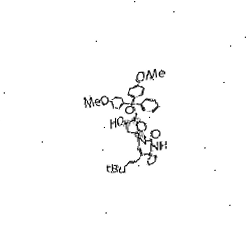 COc1ccc(C(OC[C@H]2O[C@@H](n3cc(C=CC(C)(C)C)c(=O)[nH]c3=O)C[C@@H]2O)(c2ccccc2)c2ccc(OC)cc2)cc1